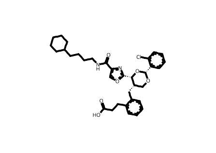 O=C(O)CCc1ccccc1C[C@H]1CO[C@@H](c2ccccc2Cl)O[C@H]1c1nc(C(=O)NCCCCC2CCCCC2)co1